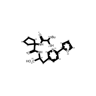 CCCCC(S)C(=O)NC1(C(=O)NC(Cc2ccc(-c3ccco3)nc2)C(=O)O)CCCC1